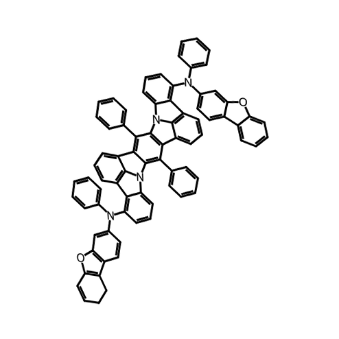 C1=Cc2oc3cc(N(c4ccccc4)c4cccc5c4c4cccc6c7c(-c8ccccc8)c8c(c(-c9ccccc9)c7n5c46)c4cccc5c6c(N(c7ccccc7)c7ccc9c(c7)oc7ccccc79)cccc6n8c54)ccc3c2CC1